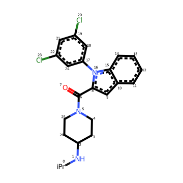 CC(C)NC1CCN(C(=O)c2cc3ccccc3n2-c2cc(Cl)cc(Cl)c2)CC1